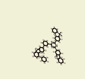 CC1(C)c2ccccc2-c2cc(-c3nc(-c4cccc(-c5ccc6c(c5)oc5cccc(-c7ccccc7)c56)c4)nc(-c4ccc5c(c4)oc4ccccc45)n3)ccc21